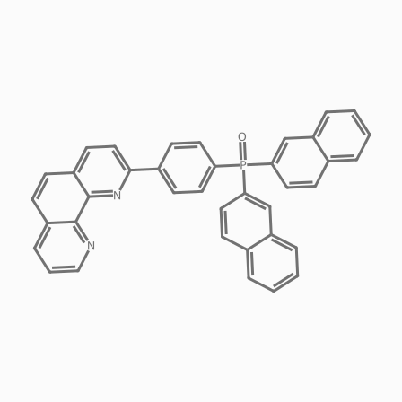 O=P(c1ccc(-c2ccc3ccc4cccnc4c3n2)cc1)(c1ccc2ccccc2c1)c1ccc2ccccc2c1